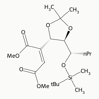 CCC[C@H](O[Si](C)(C)C(C)(C)C)[C@@H]1OC(C)(C)O[C@H]1/C(=C/C(=O)OC)C(=O)OC